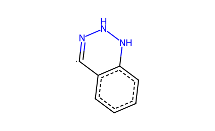 [C]1=NNNc2ccccc21